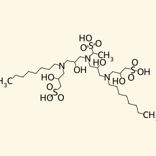 CCCCCCCCN(CC(O)CN(CC(O)CN(CCCCCCCC)CC(O)CS(=O)(=O)O)C(C)S(=O)(=O)O)CC(O)CS(=O)(=O)O